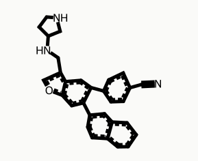 N#Cc1ccc(-c2cc3c(CNC4CCNC4)coc3cc2-c2ccc3ccccc3c2)cc1